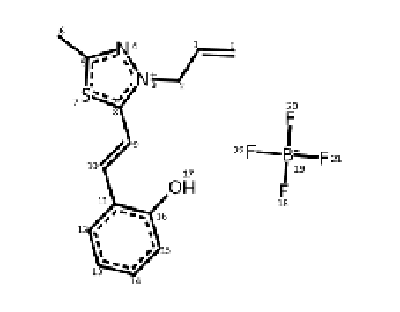 C=CC[n+]1nc(C)sc1/C=C/c1ccccc1O.F[B-](F)(F)F